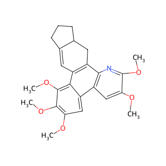 COc1cc2c(nc1OC)c1c(c3c(OC)c(OC)c(OC)cc32)C=C2CCCC2C1